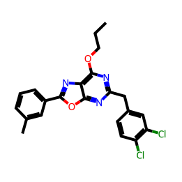 CCCOc1nc(Cc2ccc(Cl)c(Cl)c2)nc2oc(-c3cccc(C)c3)nc12